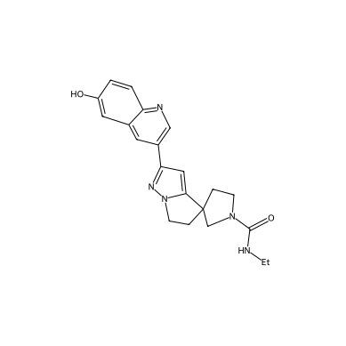 CCNC(=O)N1CCC2(CCn3nc(-c4cnc5ccc(O)cc5c4)cc32)C1